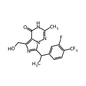 Cc1nn2c(C(C)c3ccc(C(F)(F)F)c(F)c3)nc(CO)c2c(=O)[nH]1